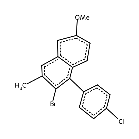 COc1ccc2c(-c3ccc(Cl)cc3)c(Br)c(C)cc2c1